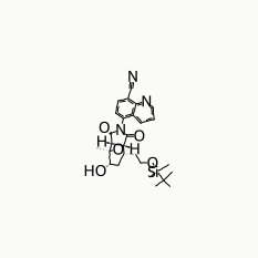 CC(C)(C)[Si](C)(C)OCC[C@]12C[C@H](O)[C@](C)(O1)[C@@H]1C(=O)N(c3ccc(C#N)c4ncccc34)C(=O)[C@@H]12